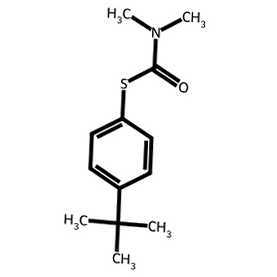 CN(C)C(=O)Sc1ccc(C(C)(C)C)cc1